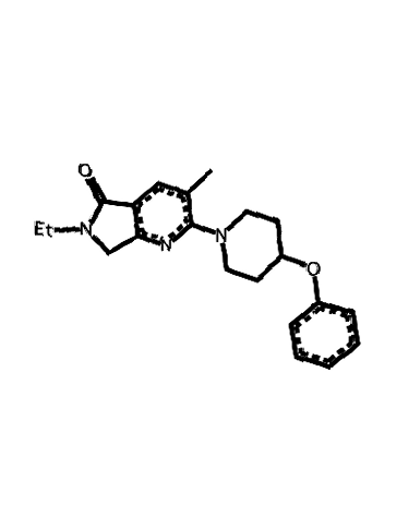 CCN1Cc2nc(N3CCC(Oc4ccccc4)CC3)c(C)cc2C1=O